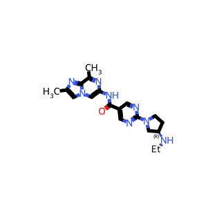 CCN[C@@H]1CCN(c2ncc(C(=O)Nc3cn4cc(C)nc4c(C)n3)cn2)C1